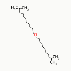 C=C(C)CCCCCCCCCOCCCCCCCCCC(=C)C